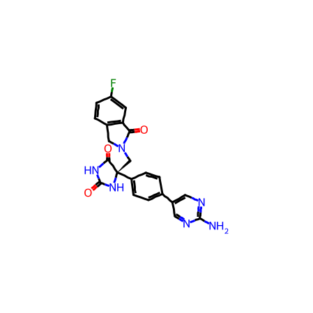 Nc1ncc(-c2ccc([C@]3(CN4Cc5ccc(F)cc5C4=O)NC(=O)NC3=O)cc2)cn1